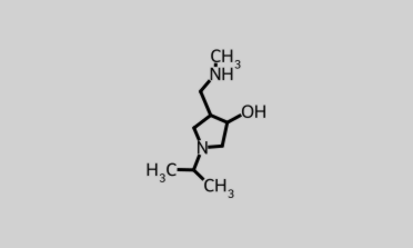 CNCC1CN(C(C)C)CC1O